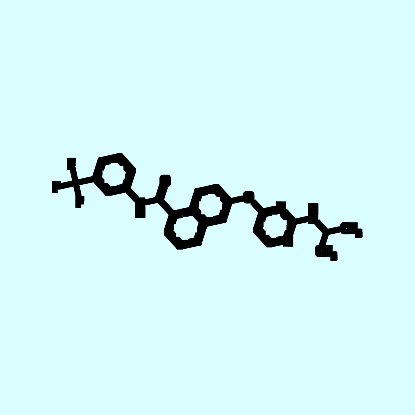 CC(C)Nc1nccc(Oc2ccc3c(C(=O)Nc4cccc(C(F)(F)F)c4)cccc3c2)n1